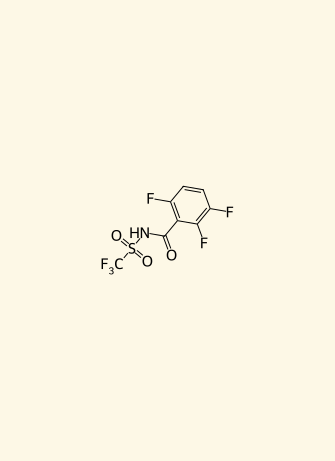 O=C(NS(=O)(=O)C(F)(F)F)c1c(F)ccc(F)c1F